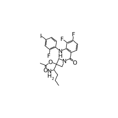 CCCC(N)C1(OC(C)=O)CN(C(=O)c2ccc(F)c(F)c2Nc2ccc(I)cc2F)C1